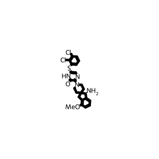 COc1cccc2c1CC1(CCN(c3ncc(Sc4cccc(Cl)c4Cl)[nH]c3=O)CC1)[C@@H]2N